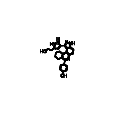 OCCN1C=C(c2n[nH]c3ccc4nc(-c5ccc(O)cc5)c5c(c4c23)CCCC5)NN1